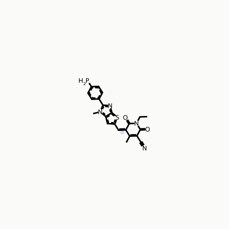 CCN1C(=O)C(C#N)=C(C)/C(=C/c2cc3c(nc(-c4ccc(P)cc4)n3C)s2)C1=O